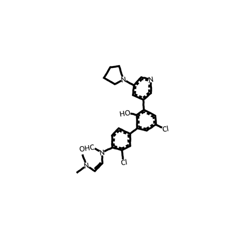 CN(C)/C=C\N(C=O)c1ccc(-c2cc(Cl)cc(-c3cncc(N4CCCC4)c3)c2O)cc1Cl